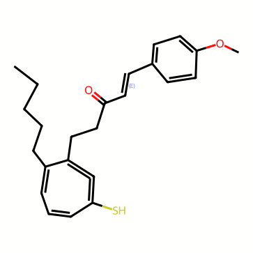 CCCCCC1=CC=CC(S)=C=C1CCC(=O)/C=C/c1ccc(OC)cc1